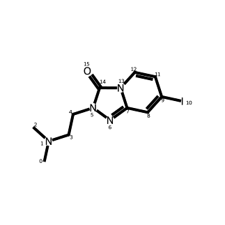 CN(C)CCn1nc2cc(I)ccn2c1=O